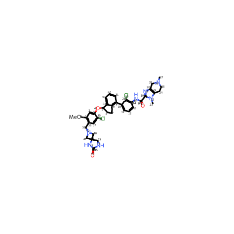 COc1cc(OC2CCc3c(-c4cccc(NC(=O)c5nc6c(n5C)CCN(C)C6)c4Cl)cccc32)c(Cl)cc1CN1CC2(CNC(=O)N2)C1